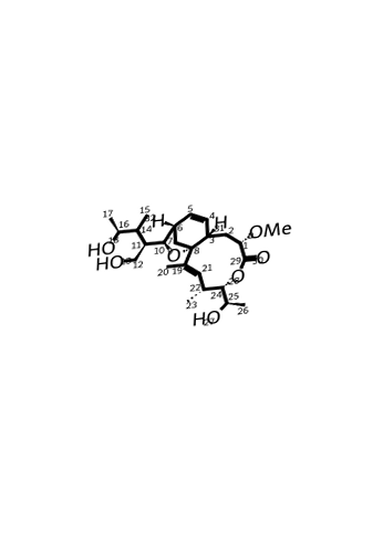 CO[C@H]1C[C@H]2C=C[C@@H]3C[C@]2(O[C@H]3[C@@H](CO)C(C)[C@H](C)O)/C(C)=C/[C@@H](C)[C@@H]([C@@H](C)O)OC1=O